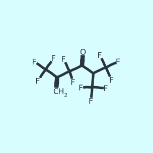 C=C(C(F)(F)F)C(F)(F)C(=O)C(C(F)(F)F)C(F)(F)F